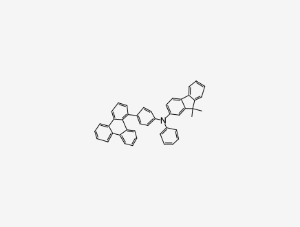 CC1(C)c2ccccc2-c2ccc(N(c3ccccc3)c3ccc(-c4cccc5c6ccccc6c6ccccc6c45)cc3)cc21